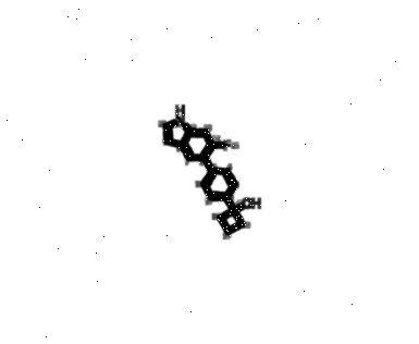 OC1(c2ccc(-c3cc4cc[nH]c4cc3F)cc2)CCC1